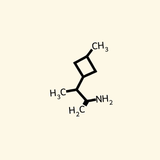 C=C(N)C(C)C1CC(C)C1